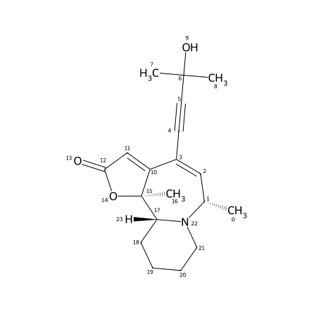 C[C@H]1C=C(C#CC(C)(C)O)C2=CC(=O)O[C@]2(C)[C@H]2CCCCN12